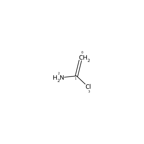 C=C(N)Cl